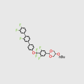 CCCCOC1COC(c2cc(F)c(C(F)(F)Oc3ccc(-c4ccc(-c5ccc(F)c(F)c5)c(F)c4)cc3)c(F)c2)OC1